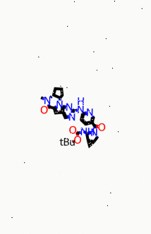 CN(C)C(=O)c1cc2cnc(Nc3ccc(C(=O)N4CC5CC5C4NC(=O)OC(C)(C)C)cn3)nc2n1C1CCCC1